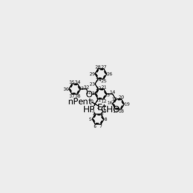 CCCCCC(CC)(Pc1ccccc1C=O)c1cc(Cc2ccccc2)cc(Cc2ccccc2)c1OCc1ccccc1